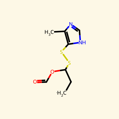 [CH2]CC(OC=O)SSc1[nH]cnc1C